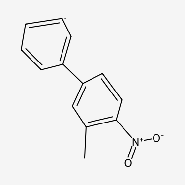 Cc1cc(-c2c[c]ccc2)ccc1[N+](=O)[O-]